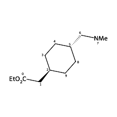 CCOC(=O)C[C@H]1CC[C@H](CNC)CC1